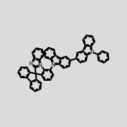 c1ccc(-n2c3ccccc3c3cc(-c4ccc5c(c4)c4ccccc4n5-c4cccc5c4-n4c(nc6ccccc64)C54c5ccccc5-c5ccccc54)ccc32)cc1